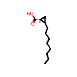 CCCCCCCCC1C[C@H]1C(=O)O